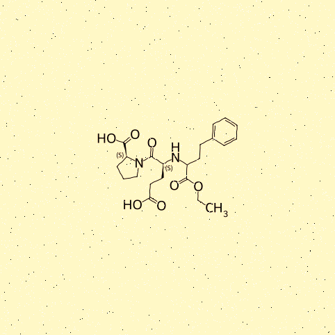 CCOC(=O)C(CCc1ccccc1)N[C@@H](CCC(=O)O)C(=O)N1CCC[C@H]1C(=O)O